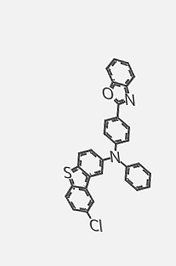 Clc1ccc2sc3ccc(N(c4ccccc4)c4ccc(-c5nc6ccccc6o5)cc4)cc3c2c1